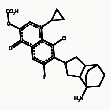 NC12CCC(CC1)C1CN(c3c(F)cc4c(=O)c(OC(=O)O)cn(C5CC5)c4c3Cl)CC12